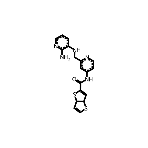 Nc1ncccc1NCc1cc(NC(=O)C2=CC3SC=CC3S2)ccn1